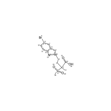 CC(CCn1cc2cc(Br)ccc2n1)(C(=O)O)S(C)(=O)=O